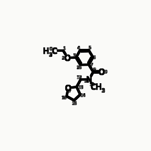 CCOc1cccc(C(=O)N(C)CC2CCCO2)c1